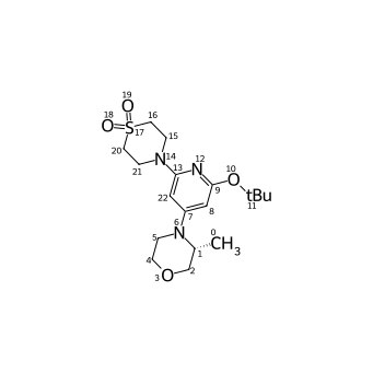 C[C@@H]1COCCN1c1cc(OC(C)(C)C)nc(N2CCS(=O)(=O)CC2)c1